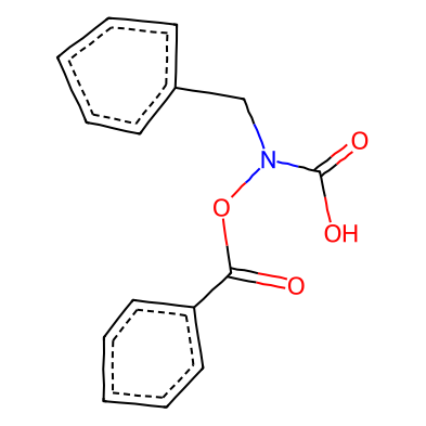 O=C(ON(Cc1ccccc1)C(=O)O)c1ccccc1